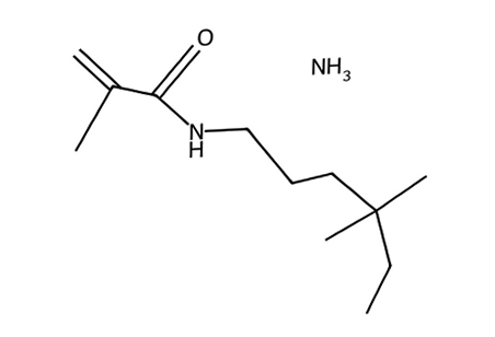 C=C(C)C(=O)NCCCC(C)(C)CC.N